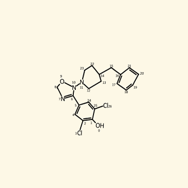 Oc1c(Cl)cc(C2=N[CH]ON2N2CCC(Cc3ccccc3)CC2)cc1Cl